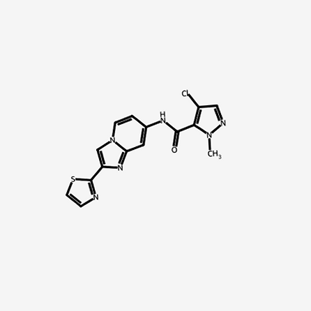 Cn1ncc(Cl)c1C(=O)Nc1ccn2cc(-c3nccs3)nc2c1